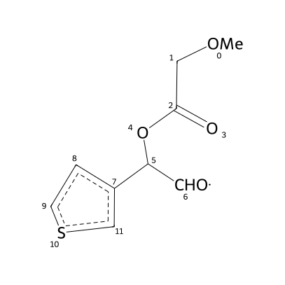 COCC(=O)OC([C]=O)c1ccsc1